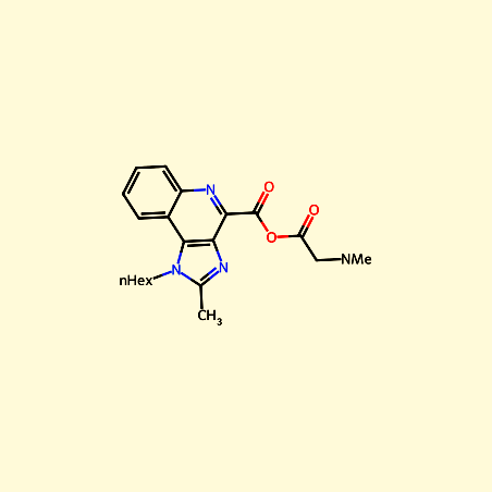 CCCCCCn1c(C)nc2c(C(=O)OC(=O)CNC)nc3ccccc3c21